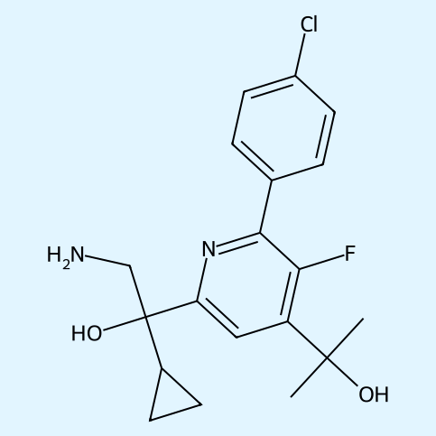 CC(C)(O)c1cc(C(O)(CN)C2CC2)nc(-c2ccc(Cl)cc2)c1F